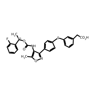 Cc1onc(-c2ccc(Sc3cccc(CC(=O)O)c3)cc2)c1NC(=O)O[C@H](C)c1ccccc1F